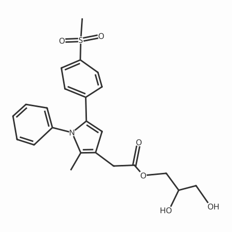 Cc1c(CC(=O)OCC(O)CO)cc(-c2ccc(S(C)(=O)=O)cc2)n1-c1ccccc1